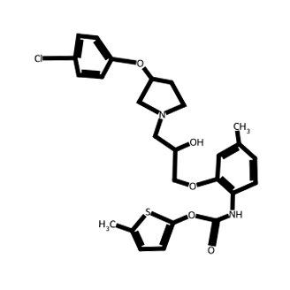 Cc1ccc(NC(=O)Oc2ccc(C)s2)c(OCC(O)CN2CCC(Oc3ccc(Cl)cc3)C2)c1